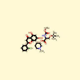 CN1CC[C@H](c2c(O)cc(O)c3c(=O)cc(-c4ccccc4Cl)oc23)[C@H](OC(=O)C(CO[Si](C)(C)C(C)(C)C)NC(=O)OC(C)(C)C)C1